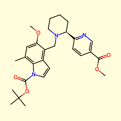 COC(=O)c1ccc([C@@H]2CCCCN2Cc2c(OC)cc(C)c3c2ccn3C(=O)OC(C)(C)C)nc1